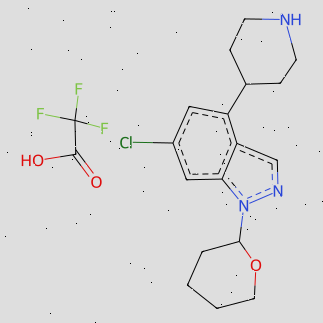 Clc1cc(C2CCNCC2)c2cnn(C3CCCCO3)c2c1.O=C(O)C(F)(F)F